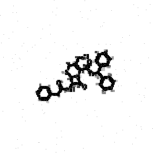 O=C(Cc1ccccc1)NC1C(=O)N2C(C(=O)OC(c3ccccc3)c3ccccc3)=C(CO)CSC12